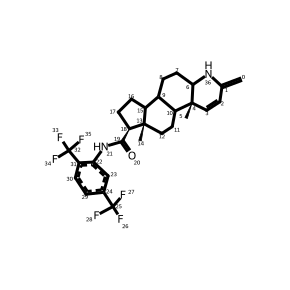 C=C1C=C[C@@]2(C)C(CCC3C2CC[C@@]2(C)C3CC[C@@H]2C(=O)Nc2cc(C(F)(F)F)ccc2C(F)(F)F)N1